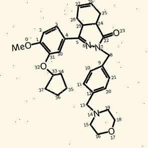 COc1ccc(C2=NN(Cc3ccc(CN4CCOCC4)cc3)C(=O)C3CC=CCC23)cc1OC1CCCC1